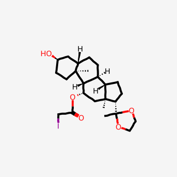 CC1([C@H]2CC[C@H]3[C@@H]4CC[C@H]5C[C@H](O)CC[C@]5(C)[C@H]4[C@@H](OC(=O)CI)C[C@]23C)OCCO1